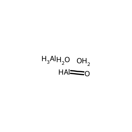 O.O.[AlH3].[O]=[AlH]